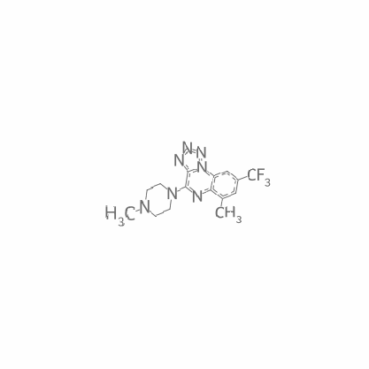 Cc1cc(C(F)(F)F)cc2c1nc(N1CCN(C)CC1)c1nnnn12